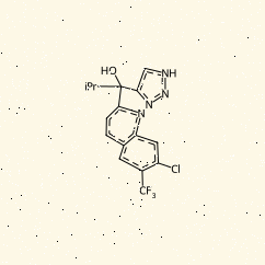 CC(C)C(O)(c1c[nH]nn1)c1ccc2cc(C(F)(F)F)c(Cl)cc2n1